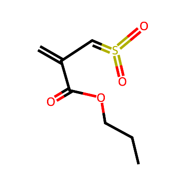 C=C(C=S(=O)=O)C(=O)OCCC